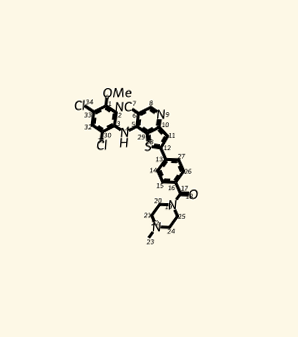 COc1cc(Nc2c(C#N)cnc3cc(-c4ccc(C(=O)N5CCN(C)CC5)cc4)sc23)c(Cl)cc1Cl